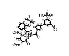 CCCCCC(C(=O)NCNC(=O)c1ccc(-c2cc(OCC)cc(P(=O)(O)O)c2)o1)C(CC)N(C=O)OC(=O)c1ccccc1OC(=O)N(C)C